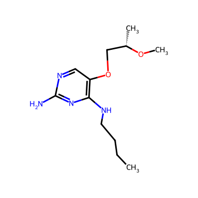 CCCCNc1nc(N)ncc1OC[C@H](C)OC